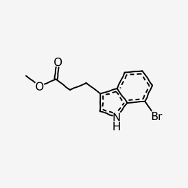 COC(=O)CCc1c[nH]c2c(Br)cccc12